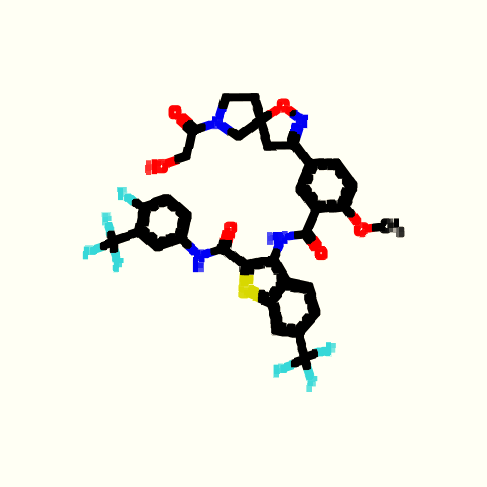 COc1ccc(C2=NOC3(CCN(C(=O)CO)C3)C2)cc1C(=O)Nc1c(C(=O)Nc2ccc(F)c(C(F)(F)F)c2)sc2cc(C(F)(F)F)ccc12